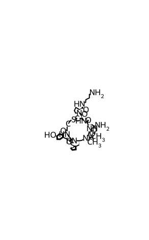 CC(C)[C@@H]1NC[C@H](Cc2cccs2)NC(=O)[C@H](Cc2ccc(O)cc2)NC(=O)CCCSC[C@@H](C(=O)N2CCC[C@H]2C(=O)NCCCCN)NC(=O)[C@H](CC(N)=O)NC1=O